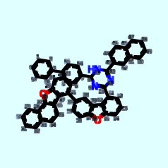 c1ccc(-c2ccc(C3N=C(c4cccc5oc6ccc(-c7cccc8oc9c%10ccccc%10ccc9c78)cc6c45)N=C(c4ccc5ccccc5c4)N3)cc2)cc1